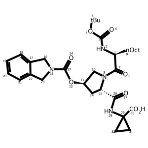 CCCCCCCC[C@H](NC(=O)OC(C)(C)C)C(=O)N1C[C@H](OC(=O)N2Cc3ccccc3C2)C[C@H]1C(=O)NC1(C(=O)O)CC1